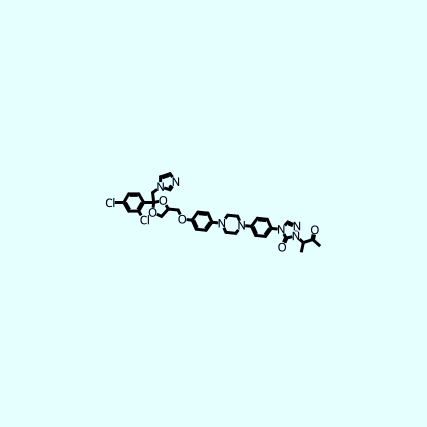 CC(=O)C(C)n1ncn(-c2ccc(N3CCN(c4ccc(OCC5COC(Cn6ccnc6)(c6ccc(Cl)cc6Cl)O5)cc4)CC3)cc2)c1=O